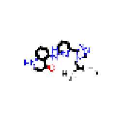 CC(C)Cn1cnnc1-c1cccc(Nc2cccc3[nH]ccc(=O)c23)n1